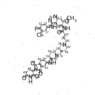 COc1cc2ncnc(Nc3ccc(F)c(Cl)c3)c2cc1NC(=O)/C=C/CN1CCC(CN2CCC[C@H](Nc3ccc4c(c3)C(=O)N(C3CCC(=O)NC3=O)C4=O)C2)CC1